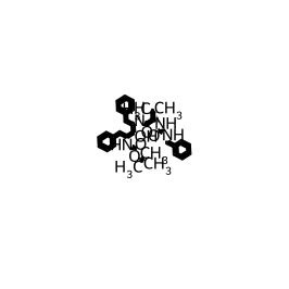 CC(C)[C@H](NC(=O)NCc1ccccc1)C(=O)NC(Cc1ccccc1)C(O)C(Cc1ccccc1)NC(=O)OC(C)(C)C